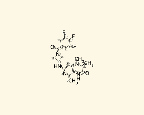 Cc1nc(NC2CN(C(=O)c3cc(F)c(F)c(F)c3)C2)cc2c1NC(=O)[C@H](C)N2C